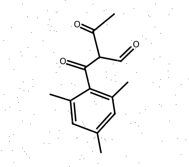 CC(=O)C(C=O)C(=O)c1c(C)cc(C)cc1C